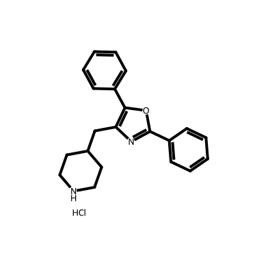 Cl.c1ccc(-c2nc(CC3CCNCC3)c(-c3ccccc3)o2)cc1